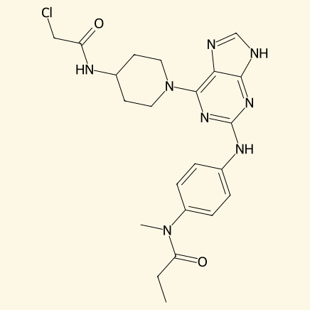 CCC(=O)N(C)c1ccc(Nc2nc(N3CCC(NC(=O)CCl)CC3)c3nc[nH]c3n2)cc1